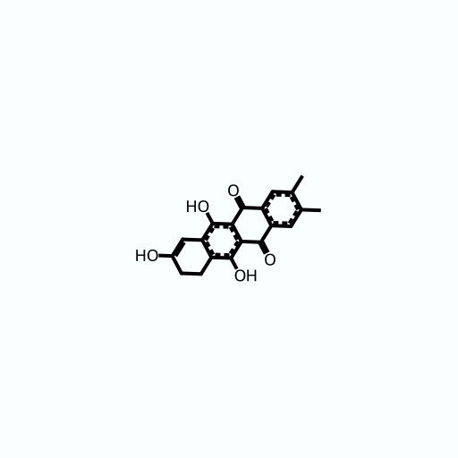 Cc1cc2c(cc1C)C(=O)c1c(O)c3c(c(O)c1C2=O)C=C(O)CC3